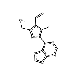 CCc1nn(-c2ncnc3nc[nH]c23)c(Cl)c1C=O